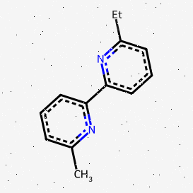 CCc1cccc(-c2cccc(C)n2)n1